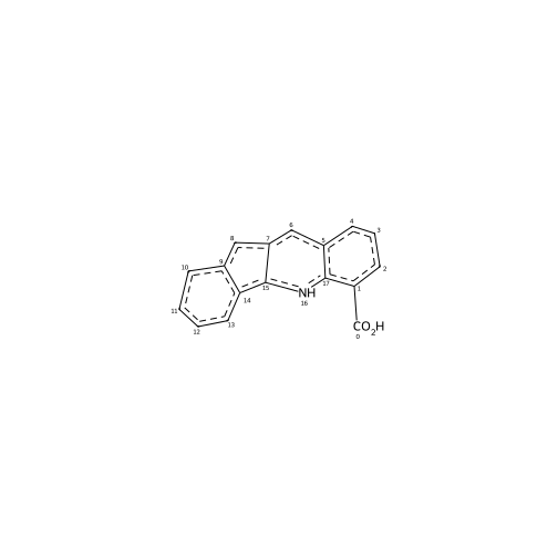 O=C(O)c1cccc2cc3cc4ccccc4c-3[nH]c12